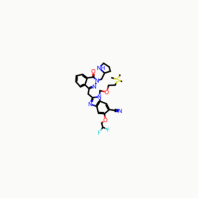 CS(C)(C)CCOCn1c(Cc2nn(CC3CCCN3)c(=O)c3ccccc23)nc2cc(OCC(F)F)c(C#N)cc21